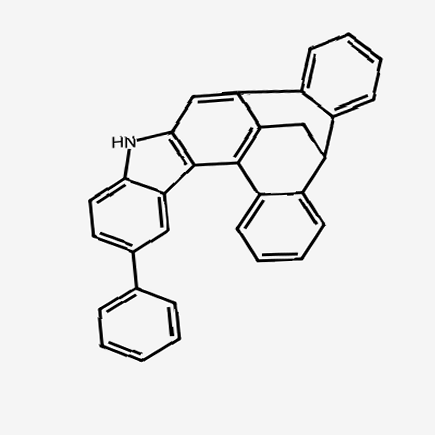 c1ccc(-c2ccc3[nH]c4cc5c6c(c4c3c2)-c2ccccc2C(C6)c2ccccc2-5)cc1